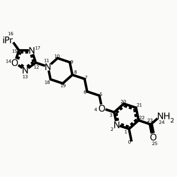 Cc1nc(OCCCC2CCN(c3noc(C(C)C)n3)CC2)ccc1C(N)=O